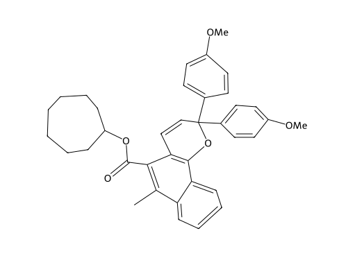 COc1ccc(C2(c3ccc(OC)cc3)C=Cc3c(C(=O)OC4CCCCCCC4)c(C)c4ccccc4c3O2)cc1